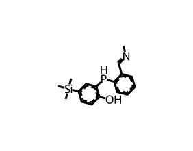 C/N=C/c1ccccc1Pc1cc([Si](C)(C)C)ccc1O